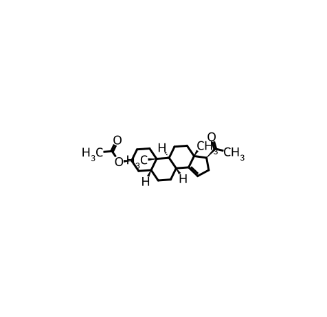 CC(=O)O[C@H]1CC[C@@]2(C)[C@H](CC[C@H]3C4=CC[C@H](C(C)=O)[C@@]4(C)CC[C@@H]32)C1